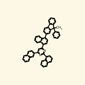 CC1(c2ccccc2)c2ccccc2-c2ccc(-c3ccc(-c4cc(-c5ccc6ccccc6c5)nc(-c5cccc6ccccc56)n4)c4ccccc34)cc21